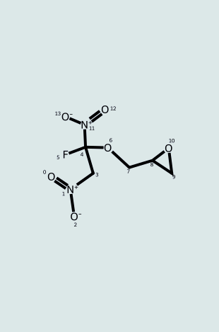 O=[N+]([O-])CC(F)(OCC1CO1)[N+](=O)[O-]